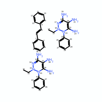 C(=Cc1ccccc1)c1ccccc1.CCN1N=C(N)C(N)=C(N)N1c1ccccc1.CCN1N=C(N)C(N)=C(N)N1c1ccccc1